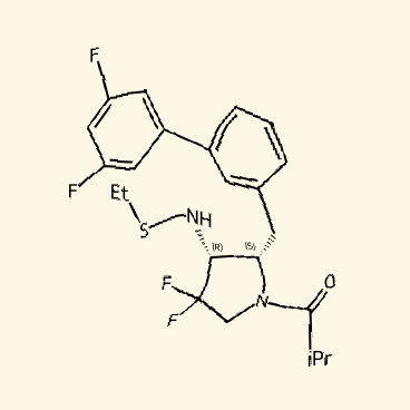 CCSN[C@@H]1[C@H](Cc2cccc(-c3cc(F)cc(F)c3)c2)N(C(=O)C(C)C)CC1(F)F